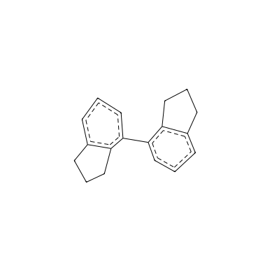 c1cc2c(c(-c3cccc4c3CCC4)c1)CCC2